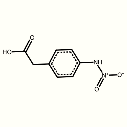 O=C(O)Cc1ccc(N[N+](=O)[O-])cc1